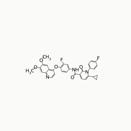 COc1cc2nccc(Oc3ccc(NC(=O)c4ccc(C5CC5)n(-c5ccc(F)cc5)c4=O)cc3F)c2cc1OC